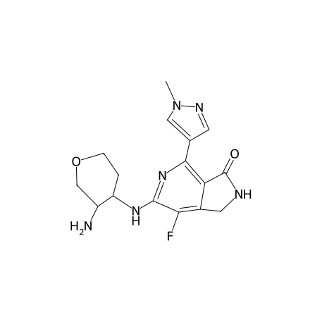 Cn1cc(-c2nc(NC3CCOCC3N)c(F)c3c2C(=O)NC3)cn1